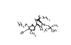 Cc1cc(-c2nc(C)n(CC(C)(C)O)n2)cc(C)c1Br